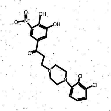 O=C(CCN1CCN(c2cccc(Cl)c2Cl)CC1)c1cc(O)c(O)c([N+](=O)[O-])c1